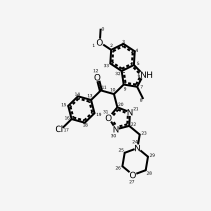 COc1ccc2[nH]c(C)c(C(C(=O)c3ccc(Cl)cc3)c3nc(CN4CCOCC4)no3)c2c1